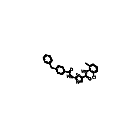 Cc1cccc(Cl)c1NC(=O)c1cnc(NC(=O)c2ccc(Cc3ccccc3)cc2)[se]1